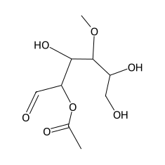 COC(C(O)CO)C(O)C(C=O)OC(C)=O